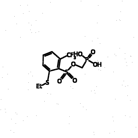 CCSc1cccc(C(F)(F)F)c1S(=O)(=O)OCP(=O)(O)O